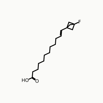 O=C(O)CCCCCCCCC/C=C/C12CC(F)(C1)C2